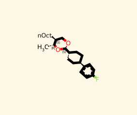 CCCCCCCC[C@H]1CO[C@H]([C@H]2CC[C@H](c3ccc(F)cc3)CC2)O[C@@H]1C